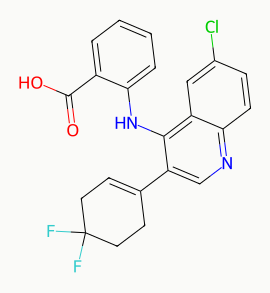 O=C(O)c1ccccc1Nc1c(C2=CCC(F)(F)CC2)cnc2ccc(Cl)cc12